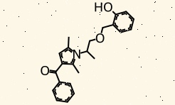 Cc1cc(C(=O)c2ccccc2)c(C)n1C(C)COCc1ccccc1O